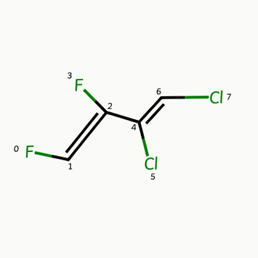 FC=C(F)C(Cl)=CCl